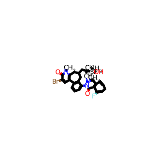 Cn1c2c(cc(Br)c1=O)-c1cccc(-n3ncc4c(c3=O)C(F)=CCC=C4)c1CC(CC(C)(C)[Si](C)(C)O)C2